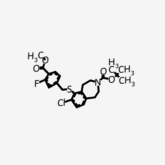 COC(=O)c1ccc(CSc2c(Cl)ccc3c2CCN(C(=O)OC(C)(C)C)CC3)cc1F